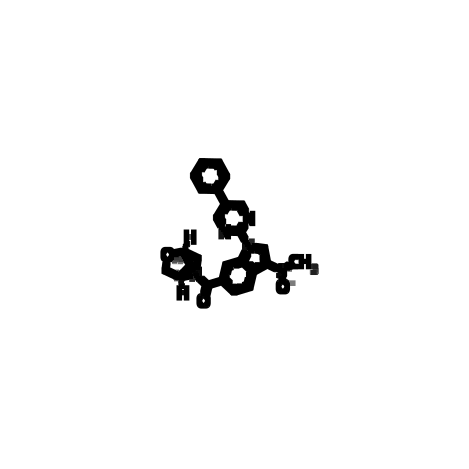 C[S+]([O-])c1cn(-c2ncc(-c3ccccc3)cn2)c2cc(C(=O)N3C[C@H]4C[C@@H]3CO4)ccc12